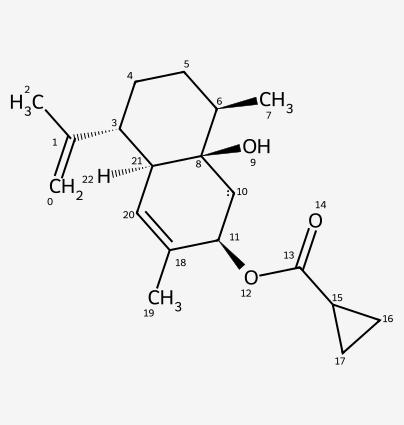 C=C(C)[C@@H]1CC[C@@H](C)[C@]2(O)[C][C@@H](OC(=O)C3CC3)C(C)=C[C@@H]12